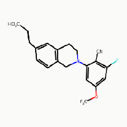 N#Cc1c(F)cc(OC(F)(F)F)cc1N1CCc2cc(CCC(=O)O)ccc2C1